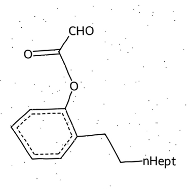 CCCCCCCCCc1ccccc1OC(=O)C=O